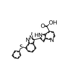 Cn1nc2c(Sc3ccccc3)cccc2c1-c1cc2nccc(C(=O)O)c2[nH]1